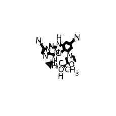 CC(C)(O)[C@H]1CN(c2cc(C#N)cc(Nc3nc(NC4CC4)c4ncc(C#N)n4n3)c2Cl)CCO1